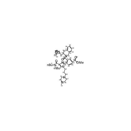 CCCCN(CCCC)C(=O)c1cn(CCCN2CCN(C)CC2)c(-c2ccc(C(=O)OC)cc2C(=O)N2Cc3ccccc3CC2CO[Si](C)(C)C(C)(C)C)n1